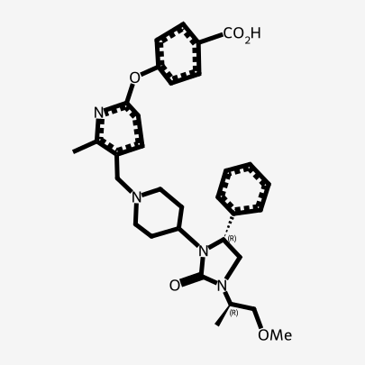 COC[C@@H](C)N1C[C@@H](c2ccccc2)N(C2CCN(Cc3ccc(Oc4ccc(C(=O)O)cc4)nc3C)CC2)C1=O